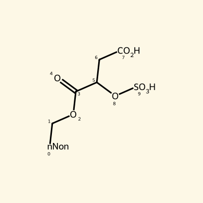 CCCCCCCCCCOC(=O)C(CC(=O)O)OS(=O)(=O)O